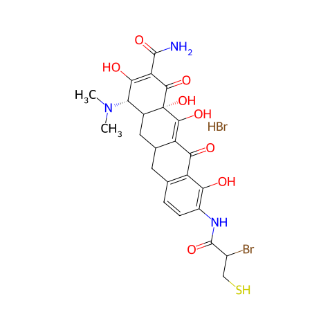 Br.CN(C)[C@@H]1C(O)=C(C(N)=O)C(=O)[C@@]2(O)C(O)=C3C(=O)c4c(ccc(NC(=O)C(Br)CS)c4O)CC3CC12